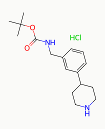 CC(C)(C)OC(=O)NCc1cccc(C2CCNCC2)c1.Cl